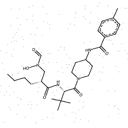 CCCC[C@H](CN(O)C=O)C(=O)N[C@H](C(=O)N1CCC(NC(=O)c2ccc(C)cc2)CC1)C(C)(C)C